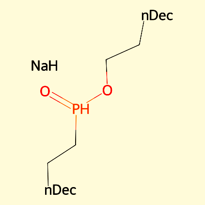 CCCCCCCCCCCCO[PH](=O)CCCCCCCCCCCC.[NaH]